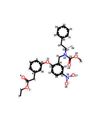 CCOC(=O)Cc1cccc(Oc2ccc([N+](=O)[O-])cc2CN(C(=O)OC)[C@@H](C)Cc2ccccc2)c1